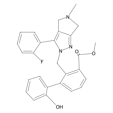 COC(=O)c1cccc(-c2ccccc2O)c1Cn1nc2c(c1-c1ccccc1F)CN(C)C2